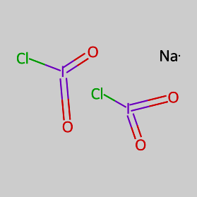 O=I(=O)Cl.O=I(=O)Cl.[Na]